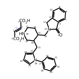 O=C(O)/C=C/C(=O)O.O=C1c2ccccc2CN1CC1CCNCC1Cc1cccn1-c1ccccc1